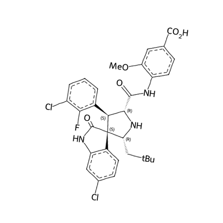 COc1cc(C(=O)O)ccc1NC(=O)[C@@H]1N[C@H](CC(C)(C)C)[C@]2(C(=O)Nc3cc(Cl)ccc32)[C@H]1c1cccc(Cl)c1F